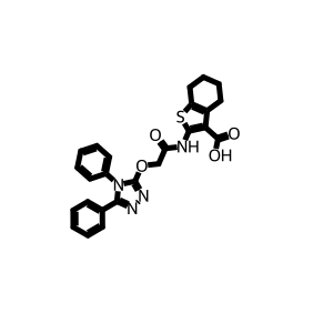 O=C(COc1nnc(-c2ccccc2)n1-c1ccccc1)Nc1sc2c(c1C(=O)O)CCCC2